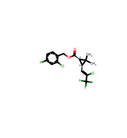 CC1(C)[C@H](C(=O)OCc2ccc(F)cc2Cl)[C@@H]1/C=C(\Cl)C(F)(F)F